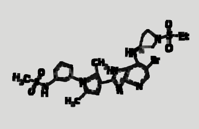 CCS(=O)(=O)N1CC[C@H](Nc2c(Br)cnc3nc(-c4cc(C)n(-c5cccc(NS(C)(=O)=O)c5)c4C)[nH]c23)C1